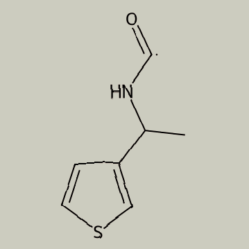 CC(N[C]=O)c1ccsc1